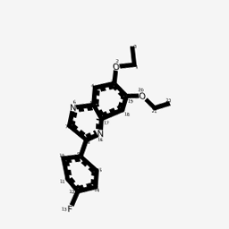 CCOc1cc2ncc(-c3ccc(F)cc3)nc2cc1OCC